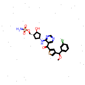 COC(c1cccc(Br)c1)c1csc(C(=O)c2cncnc2N[C@@H]2C[C@H](COS(N)(=O)=O)[C@@H](O)C2)c1